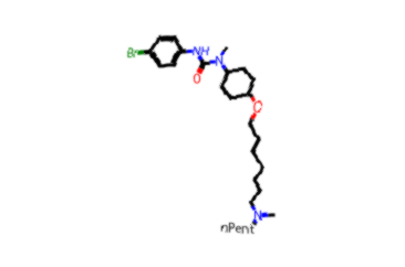 CCCCCN(C)CCCCCCCOC1CCC(N(C)C(=O)Nc2ccc(Br)cc2)CC1